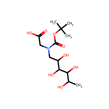 CC(O)C(O)C(O)C(O)CN(CC(=O)O)C(=O)OC(C)(C)C